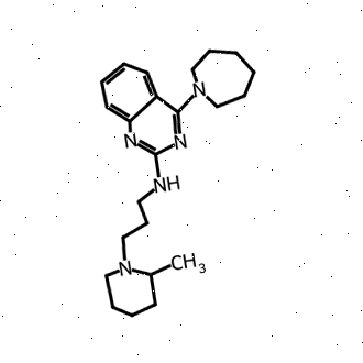 CC1CCCCN1CCCNc1nc(N2CCCCCC2)c2ccccc2n1